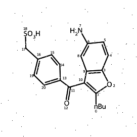 CCCCc1oc2ccc(N)cc2c1C(=O)c1ccc(CS(=O)(=O)O)cc1